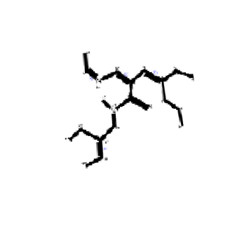 C=C(C(/C=C(/CC)CCC)=C\N=C/C)N(C)C/C(=C/C)CC